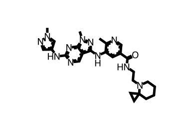 Cc1ncc(C(=O)NCCN2CCCCC23CC3)cc1Nc1nn(C)c2nc(Nc3cnn(C)c3)ncc12